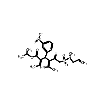 C=CCN(C)S(=O)(=O)CC(=O)C1=C(C)NC(C)=C(C(=O)OC(C)C)C1c1cccc([N+](=O)[O-])c1